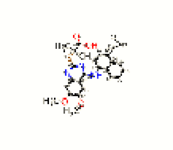 COc1cc2nc(SC(C)(C)C(=O)O)nc(Nc3ccc(C4CC4)c4ccccc34)c2cc1OC